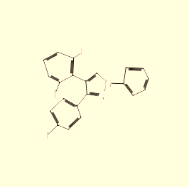 Fc1cccc(Cl)c1-c1cn(-c2ccccc2)nc1-c1ccc(Cl)cc1